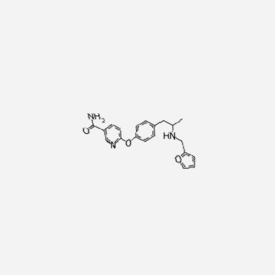 CC(Cc1ccc(Oc2ccc(C(N)=O)cn2)cc1)NCc1ccco1